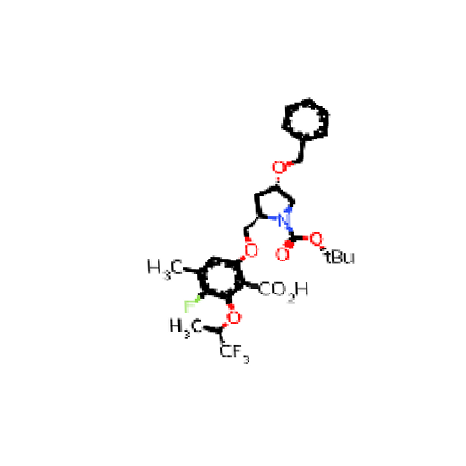 Cc1cc(OC[C@H]2C[C@H](OCc3ccccc3)CN2C(=O)OC(C)(C)C)c(C(=O)O)c(O[C@H](C)C(F)(F)F)c1F